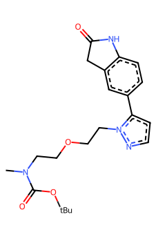 CN(CCOCCn1nccc1-c1ccc2c(c1)CC(=O)N2)C(=O)OC(C)(C)C